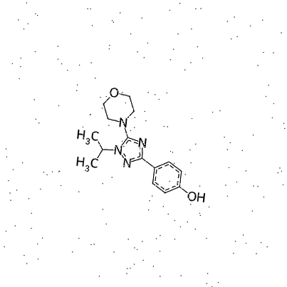 CC(C)n1nc(-c2ccc(O)cc2)nc1N1CCOCC1